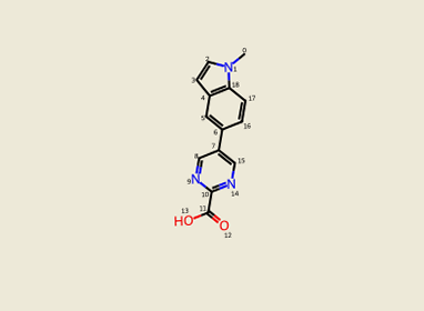 Cn1ccc2cc(-c3cnc(C(=O)O)nc3)ccc21